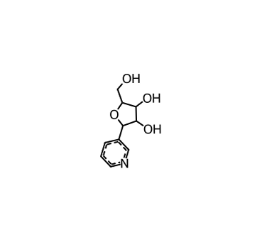 OCC1OC(c2cccnc2)C(O)C1O